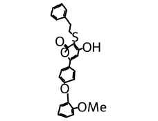 COc1ccccc1COc1ccc(-c2cc(O)c(SCCc3ccccc3)c(=O)o2)cc1